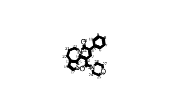 O=C(c1cc(-c2ccccc2)c(=O)n2c1-c1sccc1CCC2)N1CCOCC1